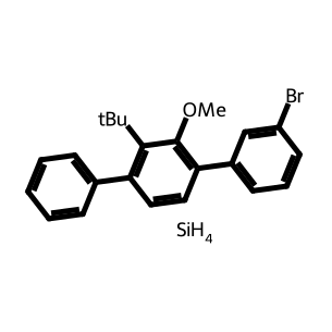 COc1c(-c2cccc(Br)c2)ccc(-c2ccccc2)c1C(C)(C)C.[SiH4]